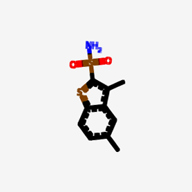 Cc1ccc2sc(S(N)(=O)=O)c(C)c2c1